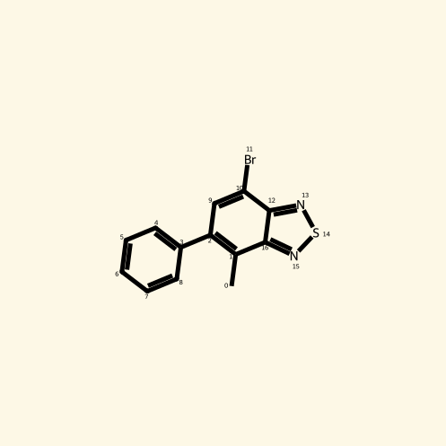 Cc1c(-c2ccccc2)cc(Br)c2nsnc12